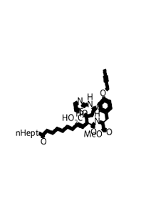 CC#CCOc1ccc(C[C@H](NC(=O)[C@@H](/C=C/CCCCCCC(=O)CCCCCCC)[C@@](O)(CC(=O)Nc2nccs2)C(=O)O)C(=O)OC)cc1